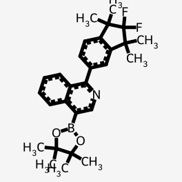 CC1(C)OB(c2cnc(-c3ccc4c(c3)C(C)(C)C(F)(F)C4(C)C)c3ccccc23)OC1(C)C